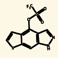 O=S(=O)(Oc1c2cn[nH]c2cc2sccc12)C(F)(F)F